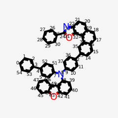 c1ccc(-c2ccc(N(c3ccc(-c4ccc5ccc6ccc7nc(-c8ccccc8)oc7c6c5c4)cc3)c3cccc4oc5ccccc5c34)cc2)cc1